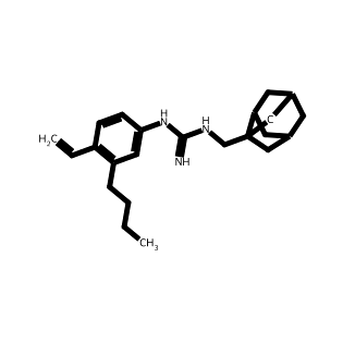 C=Cc1ccc(NC(=N)NCC23CC4CC(CC2C4)C3)cc1CCCC